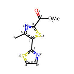 COC(=O)c1nc(C)c(-c2nccs2)s1